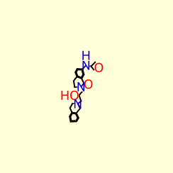 O=C1c2cc(NC3COC3)ccc2CCN1CC(O)CN1CCc2ccccc2C1